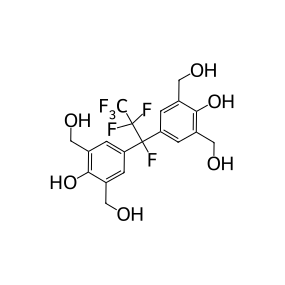 OCc1cc(C(F)(c2cc(CO)c(O)c(CO)c2)C(F)(F)C(F)(F)F)cc(CO)c1O